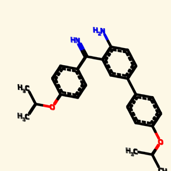 CC(C)Oc1ccc(C(=N)c2cc(-c3ccc(OC(C)C)cc3)ccc2N)cc1